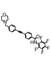 O=C(Nc1c(F)c(F)c(F)c(F)c1F)c1ccc(C#Cc2ccc(CN3CCOCC3)cc2)cc1